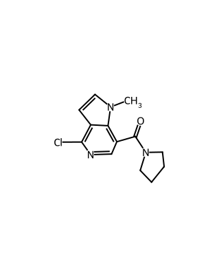 Cn1ccc2c(Cl)ncc(C(=O)N3CCCC3)c21